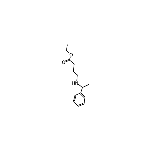 CCOC(=O)CCCNC(C)c1ccccc1